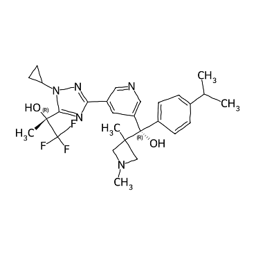 CC(C)c1ccc([C@](O)(c2cncc(-c3nc([C@@](C)(O)C(F)(F)F)n(C4CC4)n3)c2)C2(C)CN(C)C2)cc1